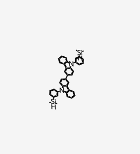 C[SiH](C)c1cccc(-n2c3ccccc3c3cc(-c4ccc5c(c4)c4ccccc4n5-c4cccc([SiH](C)C)c4)ccc32)c1